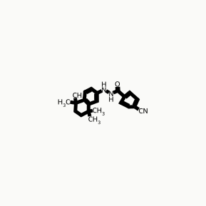 CC1(C)CCC(C)(C)c2cc(NNC(=O)c3ccc(C#N)cc3)ccc21